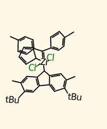 Cc1ccc([C](c2ccc(C)cc2)=[Zr]([Cl])([Cl])([CH]2C=CC=C2)[CH]2c3cc(C)c(C(C)(C)C)cc3-c3cc(C(C)(C)C)c(C)cc32)cc1